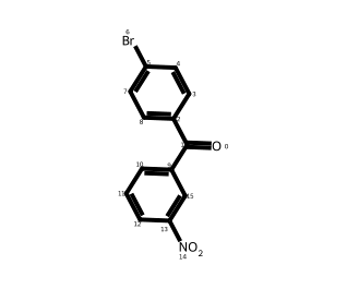 O=C(c1ccc(Br)cc1)c1cccc([N+](=O)[O-])c1